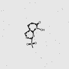 CS(=O)(=O)c1ncc2ccc(=O)n(O)c2n1